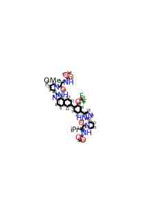 COC[C@H]1C[C@@H](c2nc3ccc4cc(-c5ccc(-c6cnc([C@@H]7CCCN7C(=O)[C@@H](NC7OCO7)C(C)C)[nH]6)cc5OC(F)F)ccc4c3[nH]2)N(C(=O)CNC2OCO2)C1